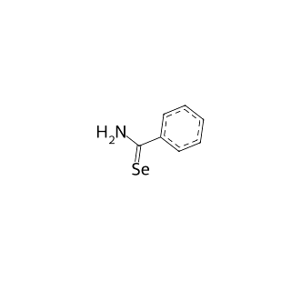 NC(=[Se])c1ccccc1